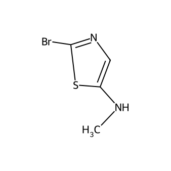 CNc1cnc(Br)s1